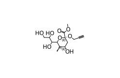 C#CCO[C@]1(C(=O)OC)C[C@@H](O)[C@@H](C)C(C(O)C(O)CO)O1